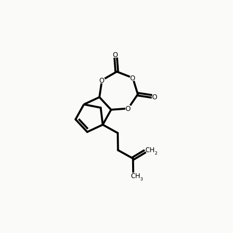 C=C(C)CCC12C=CC(C1)C1OC(=O)OC(=O)OC12